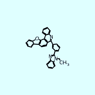 CCn1c(-c2cccc(-c3nc4ccccc4c4c3ccc3c5ccccc5oc34)c2)nc2ccccc21